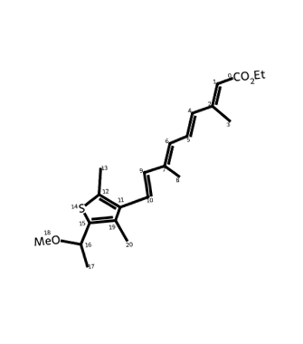 CCOC(=O)/C=C(C)/C=C/C=C(C)/C=C/c1c(C)sc(C(C)OC)c1C